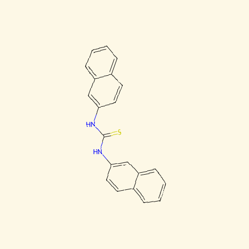 S=C(Nc1ccc2ccccc2c1)Nc1ccc2ccccc2c1